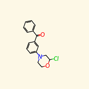 O=C(c1ccccc1)c1cccc(N2CCOC(Cl)C2)c1